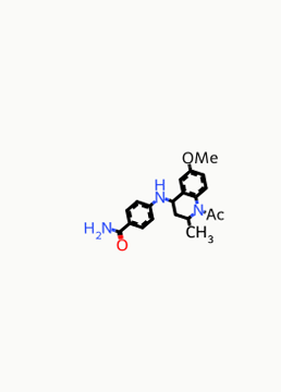 COc1ccc2c(c1)C(Nc1ccc(C(N)=O)cc1)CC(C)N2C(C)=O